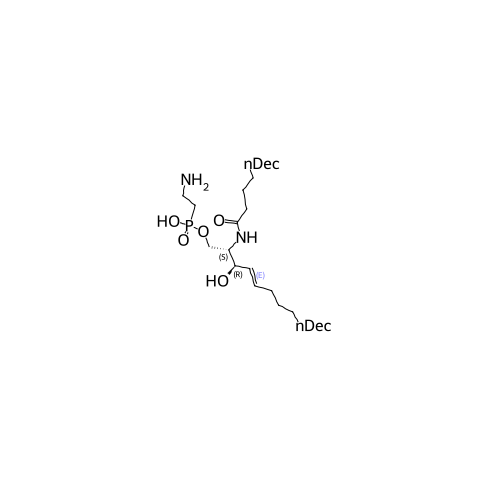 CCCCCCCCCCCCC/C=C/[C@@H](O)[C@H](COP(=O)(O)CCN)NC(=O)CCCCCCCCCCCCC